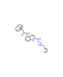 O=C(CC12CC3CC(CC(C3)C1)C2)Nc1cccc2nc(NCCNCc3cccs3)ccc12